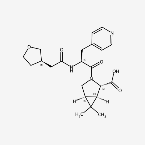 CC1(C)[C@@H]2[C@@H](C(=O)O)N(C(=O)[C@H](Cc3ccncc3)NC(=O)C[C@H]3CCOC3)C[C@@H]21